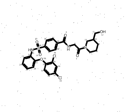 O=C(NCC(=O)N1CCCC(CO)C1)c1ccc(S(=O)(=O)Nc2ccccc2Oc2ccc(Cl)cc2Cl)cc1